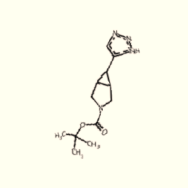 CC(C)(C)OC(=O)N1CC2C(C1)C2c1cnn[nH]1